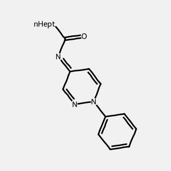 CCCCCCCC(=O)N=c1ccn(-c2ccccc2)nc1